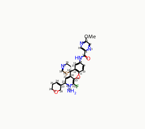 COc1cnc(C(=O)Nc2ccc3c(c2)[C@@]2(CCN=CS2)C2=CC(C4=CCCOC4)N(N)C(F)=C2O3)cn1